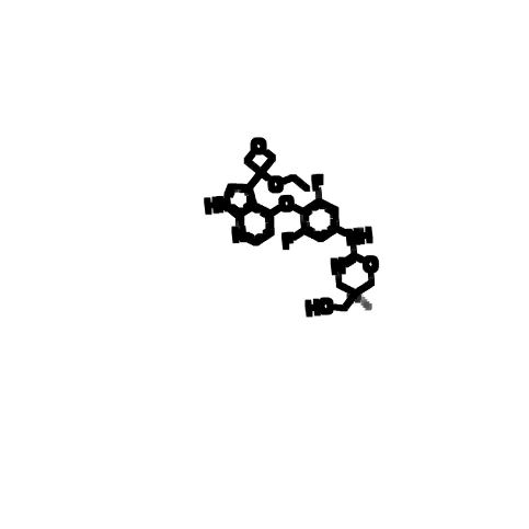 CCOC1(c2c[nH]c3nccc(Oc4c(F)cc(NC5=NC[C@](C)(CO)CO5)cc4F)c23)COC1